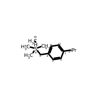 CC(C)c1ccc(C[SH](C)(C)(C)C)cc1